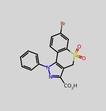 O=C(O)c1nn(-c2ccccc2)c2c1CS(=O)(=O)c1cc(Br)ccc1-2